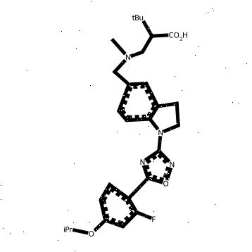 CC(C)Oc1ccc(-c2nc(N3CCc4cc(CN(C)CC(C(=O)O)C(C)(C)C)ccc43)no2)c(F)c1